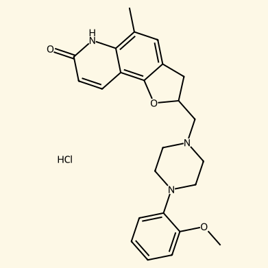 COc1ccccc1N1CCN(CC2Cc3cc(C)c4[nH]c(=O)ccc4c3O2)CC1.Cl